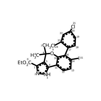 CCOC(=O)c1n[nH]c2c1C(C)(C)Oc1c-2ccc(I)c1-c1ccc(Cl)cc1Cl